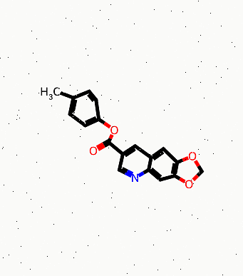 Cc1ccc(OC(=O)c2cnc3cc4c(cc3c2)OCO4)cc1